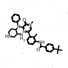 Cc1c(NC(=O)c2ccc(C(C)(C)C)cc2)cccc1-c1cn(C)c(=O)c(N(c2ccccc2)C2CCNCC2N)n1